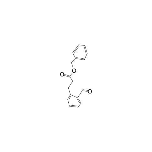 O=[C]c1ccccc1CCC(=O)OCc1ccccc1